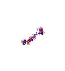 C=N/C=c1/c(=O)n(C)cc(-c2cc(OC)c(CN3CC(C(=O)N(C)CCCCCCCCNc4cccc5c4C(=O)N(C4CCC(=O)NC4=O)C5=O)C3)c(OC)c2)/c1=C/C